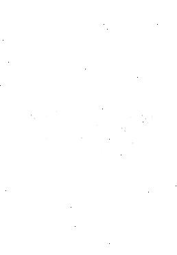 CCCCCCCCCCN(C(N)=O)C1(C)CCCC(c2ccc(N(C)C)cc2)C1